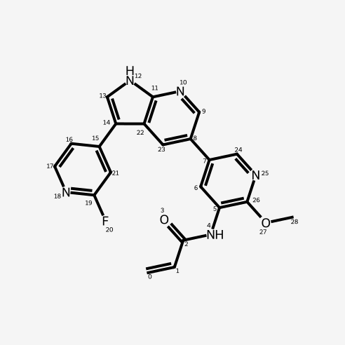 C=CC(=O)Nc1cc(-c2cnc3[nH]cc(-c4ccnc(F)c4)c3c2)cnc1OC